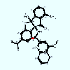 COc1cc(C(=O)NC23C(=O)c4c(N)cccc4C2(O)Oc2cc(C(C)C)ccc23)nc2c1CCC=C2